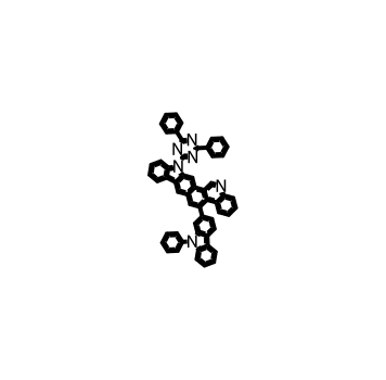 c1ccc(-c2nc(-c3ccccc3)nc(-n3c4ccccc4c4cc5cc(-c6ccc7c8ccccc8n(-c8ccccc8)c7c6)c6c7ccccc7ncc6c5cc43)n2)cc1